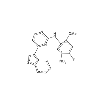 COc1cc(F)c([N+](=O)[O-])cc1Nc1nccc(-c2csc3ccccc23)n1